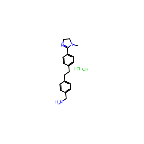 CN1CCN=C1c1ccc(CCc2ccc(CN)cc2)cc1.Cl.Cl